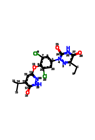 CCc1nn(-c2cc(Cl)c(Oc3cc(C(C)C)c(=O)[nH]n3)c(Cl)c2)c(=O)[nH]c1=O